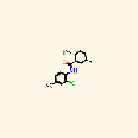 CC(C)[C@@H]1CC[C@@H](C)C[C@H]1C(=O)Nc1ccc(C#N)cc1Cl